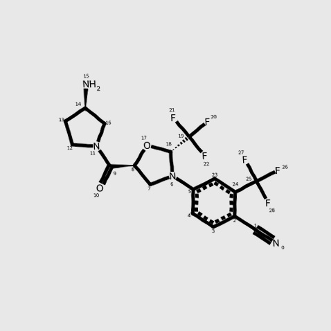 N#Cc1ccc(N2C[C@@H](C(=O)N3CC[C@@H](N)C3)O[C@@H]2C(F)(F)F)cc1C(F)(F)F